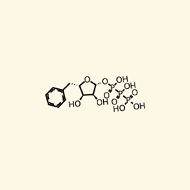 O=P(O)(O)P(=O)(O)P(=O)(O)O[C@H]1O[C@@H](Cc2ccccc2)[C@H](O)[C@@H]1O